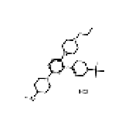 CCCN1CCN(c2ccc(N3CCC(OC)CC3)cc2C2=CCC(C(C)(C)C)CC2)CC1.Cl